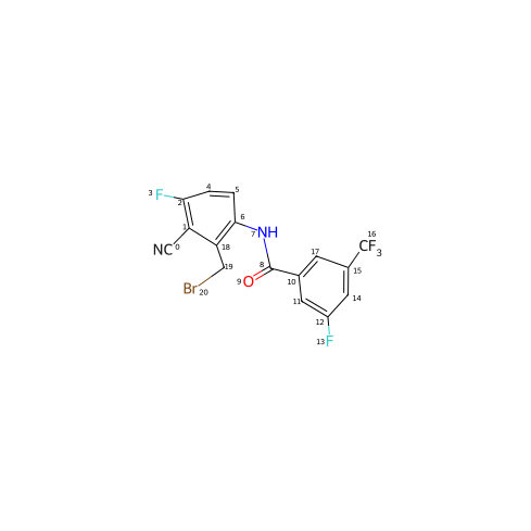 N#Cc1c(F)ccc(NC(=O)c2cc(F)cc(C(F)(F)F)c2)c1CBr